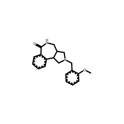 COc1ccccc1CN1CC2CNC(=O)c3ccccc3C2C1